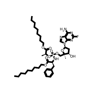 CCCCCCCCCOC(=O)[C@H](Cc1ccccc1)NP(=O)(OC[C@@]1(C)O[C@@H](n2cnc3c(N)nc(F)nc32)C[C@@H]1O)O[C@@H](C)C(=O)OCCCCCCCCC